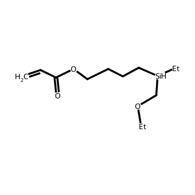 C=CC(=O)OCCCC[SiH](CC)COCC